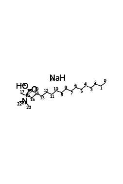 CCCCCCCCCCCCCCCCC(C)(C(=O)O)N(C)C.[NaH]